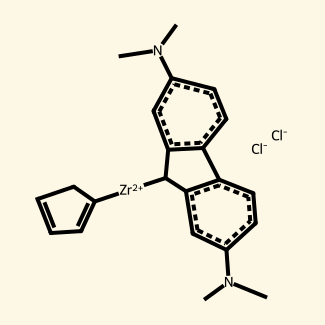 CN(C)c1ccc2c(c1)[CH]([Zr+2][C]1=CC=CC1)c1cc(N(C)C)ccc1-2.[Cl-].[Cl-]